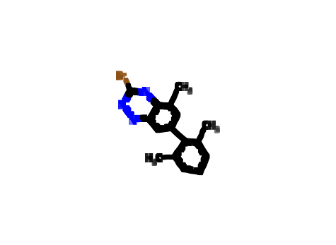 Cc1cccc(C)c1-c1cc(C)c2nc(Br)nnc2c1